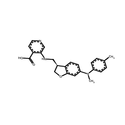 Cc1ccc(N(C)c2ccc3c(c2)OC[C@H]3CNc2cnccc2C(=O)O)cc1